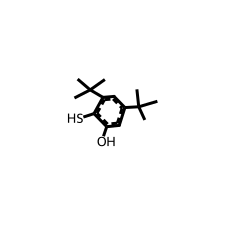 CC(C)(C)c1cc(O)c(S)c(C(C)(C)C)c1